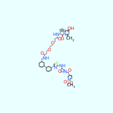 C[C@@H]1C[C@@H](O)CN1C(=O)C(NC(=O)CCOCCOCCC(=O)NCc1cccc(-c2cccc(-c3csc(NC(=O)CNC(=O)c4ccn(S(C)(=O)=O)c4)n3)c2)c1)C(C)(C)C